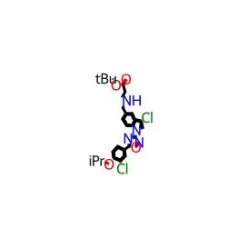 CC(C)Oc1ccc(-c2nc(-n3cc(Cl)c4cc(CNCCC(=O)OC(C)(C)C)ccc43)no2)cc1Cl